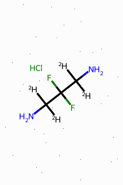 Cl.[2H]C([2H])(N)C(F)(F)C([2H])([2H])N